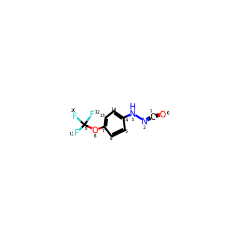 O=C=NNc1ccc(OC(F)(F)F)cc1